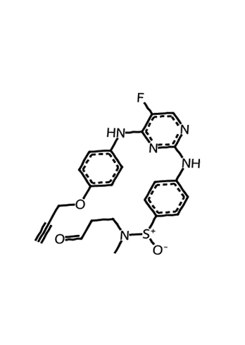 C#CCOc1ccc(Nc2nc(Nc3ccc([S+]([O-])N(C)CCC=O)cc3)ncc2F)cc1